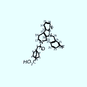 O=C(CC12CCC(C(=O)O)(CC1)CC2)N1CCc2c(n(Cc3cccc(F)c3)c3ncccc23)C1